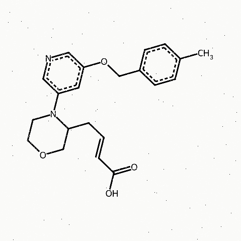 Cc1ccc(COc2cncc(N3CCOCC3C/C=C/C(=O)O)c2)cc1